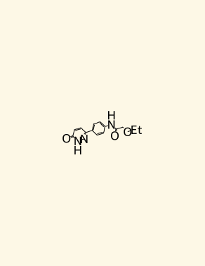 CCOCC(=O)Nc1ccc(-c2ccc(=O)[nH]n2)cc1